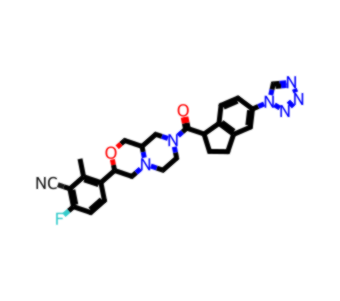 Cc1c(C2CN3CCN(C(=O)C4CCc5cc(-n6cnnn6)ccc54)CC3CO2)ccc(F)c1C#N